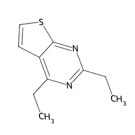 CCc1nc(CC)c2ccsc2n1